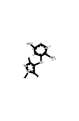 Cc1nn(C)c(C)c1Oc1cc(S)cnc1N